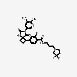 N#Cc1ncc(N2C(=O)C3(CCC3c3ccc(C(=O)NCCCN4CCC(F)(F)C4)c(F)c3)NC2=S)cc1C(F)(F)F